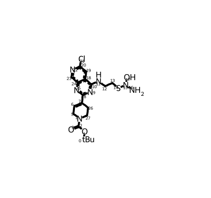 CC(C)(C)OC(=O)N1CC=C(c2nc(NCCSN(N)O)c3cc(Cl)ncc3n2)CC1